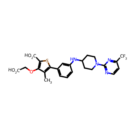 Cc1c(-c2cccc(NC3CCN(c4nccc(C(F)(F)F)n4)CC3)c2)sc(C(=O)O)c1OCC(=O)O